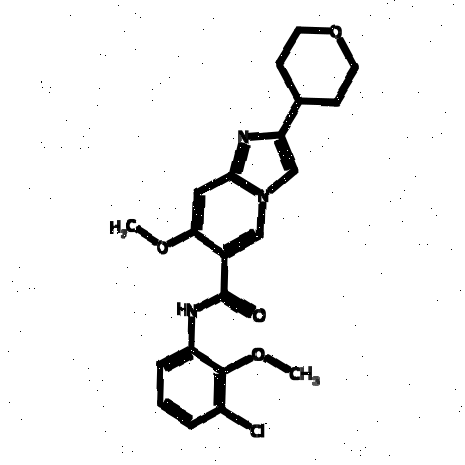 COc1cc2nc(C3CCOCC3)cn2cc1C(=O)Nc1cccc(Cl)c1OC